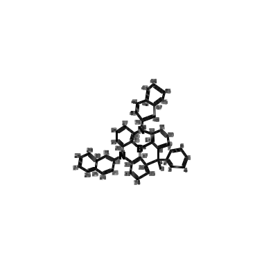 CC1(c2ccccc2)c2cccc3c2B2c4c(cccc4N(c4ccc5ccccc5c4)c4cccc1c42)N3c1ccc2ccccc2c1